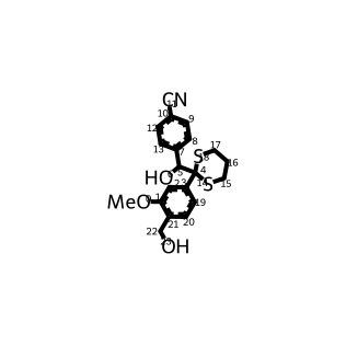 COc1cc(C2(C(O)c3ccc(C#N)cc3)SCCCS2)ccc1CO